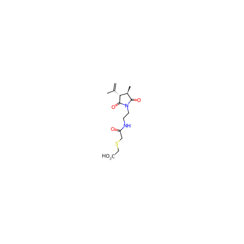 C=C(C)[C@H]1C(=O)N(CCNC(=O)CSCC(=O)O)C(=O)[C@@H]1C